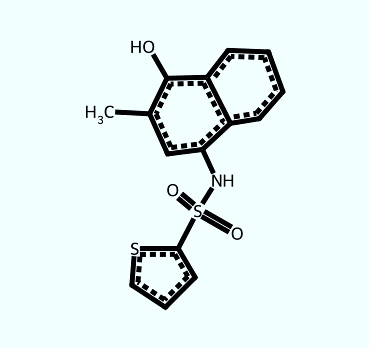 Cc1cc(NS(=O)(=O)c2cccs2)c2ccccc2c1O